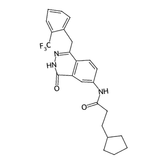 O=C(CCC1CCCC1)Nc1ccc2c(Cc3ccccc3C(F)(F)F)n[nH]c(=O)c2c1